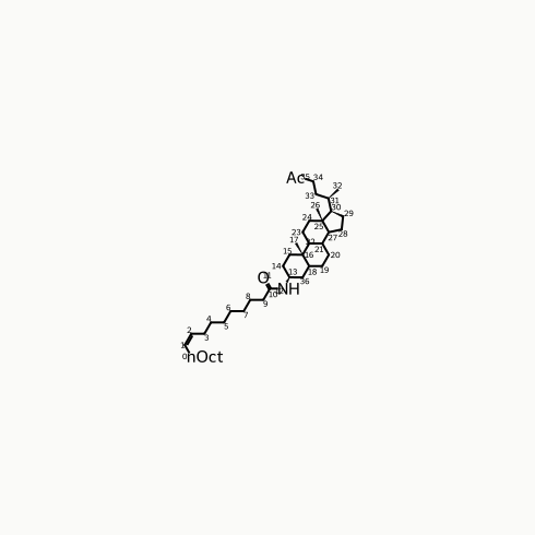 CCCCCCCC/C=C\CCCCCCCC(=O)N[C@H]1CC[C@@]2(C)C(CCC3C2CC[C@@]2(C)C3CC[C@@H]2[C@H](C)CCC(C)=O)C1